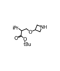 CC(C)C(COC1CNC1)C(=O)OC(C)(C)C